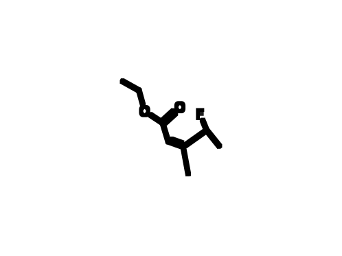 CCOC(=O)C=C(C)C(C)F